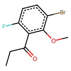 CCC(=O)c1c(F)ccc(Br)c1OC